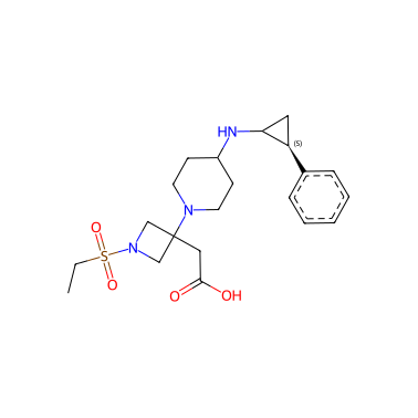 CCS(=O)(=O)N1CC(CC(=O)O)(N2CCC(NC3C[C@H]3c3ccccc3)CC2)C1